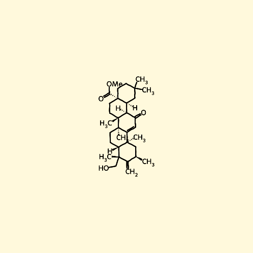 C=C1[C@H](C)C[C@]2(C)C3=CC(=O)[C@@H]4[C@@H]5CC(C)(C)CC[C@]5(C(=O)OC)CC[C@@]4(C)[C@]3(C)CC[C@H]2[C@@]1(C)CO